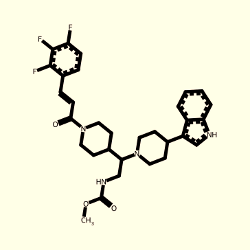 COC(=O)NCC(C1CCN(C(=O)C=Cc2ccc(F)c(F)c2F)CC1)N1CCC(c2c[nH]c3ccccc23)CC1